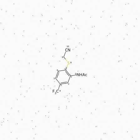 CC(=O)Nc1cc(C(F)(F)F)ccc1SCC#N